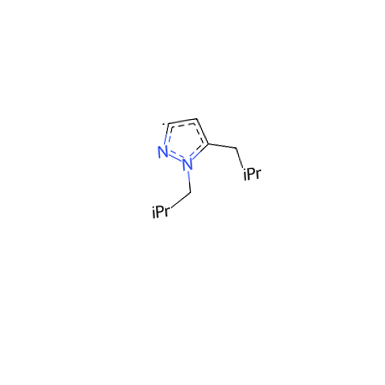 CC(C)Cc1c[c]nn1CC(C)C